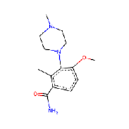 COc1ccc(C(N)=O)c(C)c1N1CCN(C)CC1